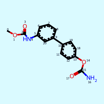 COC(=O)Nc1cccc(-c2ccc(OC(N)=O)cc2)c1